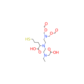 CCN(CCN(CCN(COC=O)COC=O)C(CCCS)C(=O)O)CC(=O)O